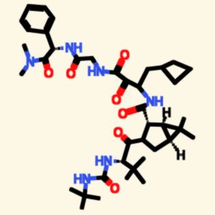 CN(C)C(=O)[C@@H](NC(=O)CNC(=O)C(=O)C(CC1CCC1)NC(=O)[C@H]1C(C(=O)[C@@H](NC(=O)NC(C)(C)C)C(C)(C)C)C[C@H]2[C@@H]1C2(C)C)c1ccccc1